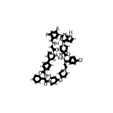 NC1(C(=O)N[C@@H](CCN2CCC(OC3CCN(C(=O)[C@H](NC(=O)c4ccc(C5CCN(C(=O)CNCc6ccc(F)cc6F)CC5)cc4)C4CCCCC4)CC3)CC2)c2ccc(Cl)cc2)CCN(c2ncnc3[nH]ccc23)CC1